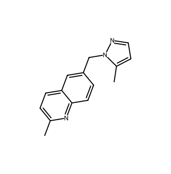 Cc1ccc2cc(Cn3nccc3C)ccc2n1